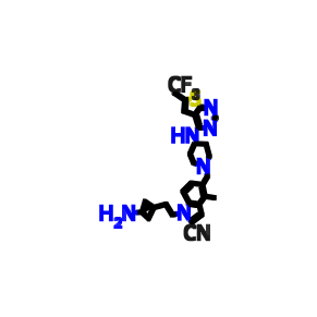 Cc1c(CN2CCC(Nc3ncnc4sc(CC(F)(F)F)cc34)CC2)ccc2c1cc(C#N)n2CCC12CC(N)(C1)C2